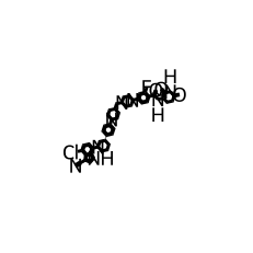 N#Cc1c[nH]c2c(N3CCC[C@@H](c4ccc(N5CCC(CN6CCN(c7ccc(C(=O)NC8CCC(=O)NC8=O)c(F)c7)CC6)CC5)cc4)C3)ccc(Cl)c12